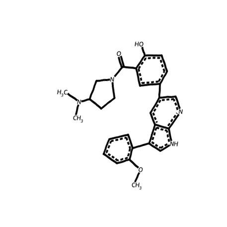 COc1ccccc1-c1c[nH]c2ncc(-c3ccc(O)c(C(=O)N4CCC(N(C)C)C4)c3)cc12